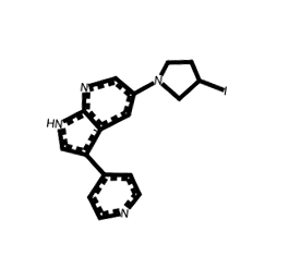 IC1CCN(c2cnc3[nH]cc(-c4ccncc4)c3c2)C1